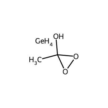 CC1(O)OO1.[GeH4]